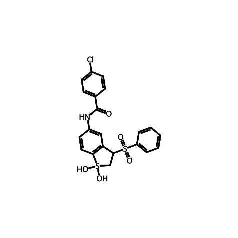 O=C(Nc1ccc2c(c1)C(S(=O)(=O)c1ccccc1)CS2(O)O)c1ccc(Cl)cc1